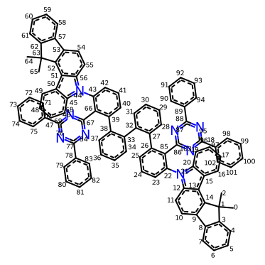 CC1(C)c2ccccc2-c2ccc3c(c21)c1ccccc1n3-c1cccc(-c2ccccc2-c2ccccc2-c2cccc(-n3c4ccccc4c4c5c(ccc43)-c3ccccc3C5(C)C)c2-c2nc(-c3ccccc3)nc(-c3ccccc3)n2)c1-c1nc(-c2ccccc2)nc(-c2ccccc2)n1